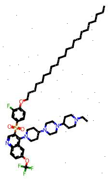 CCCCCCCCCCCCCCCCCCCCCCOc1ccc(S(=O)(=O)c2cnc3ccc(OC(F)(F)F)cc3c2N2CCC(N3CCN(C4CCN(CC)CC4)CC3)CC2)cc1F